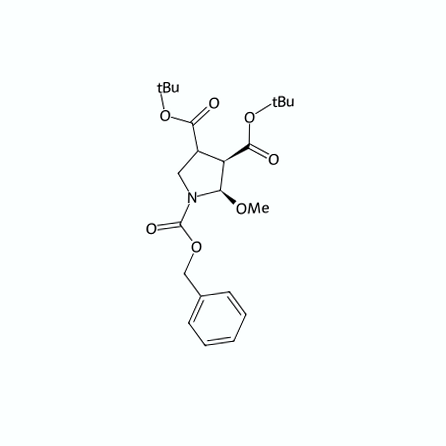 CO[C@@H]1[C@H](C(=O)OC(C)(C)C)C(C(=O)OC(C)(C)C)CN1C(=O)OCc1ccccc1